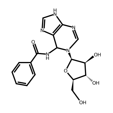 O=C(NC1c2nc[nH]c2N=CN1[C@@H]1O[C@H](CO)[C@@H](O)[C@@H]1O)c1ccccc1